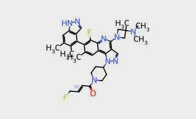 Cc1cc2[nH]ncc2c(-c2c(C)cc3c(nc(N4CC(C)(N(C)C)C4)c4cnn(C5CCN(C(=O)/C=C/CF)CC5)c43)c2F)c1C